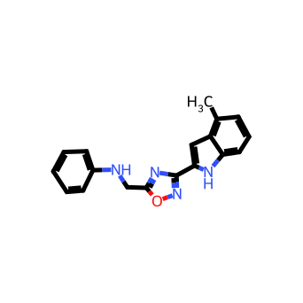 Cc1cccc2[nH]c(-c3noc(CNc4ccccc4)n3)cc12